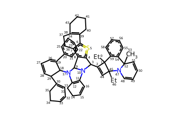 CCC12C(C3c4sc5c(c4C4N3C3=C(CCC=C3)N4C3C(c4ccccc4)=CC=CC3C3=CC=CCC3)CCC3=C5CCCC3)=CC1(CC)N1C=CC=CC1(C)c1ccccc12